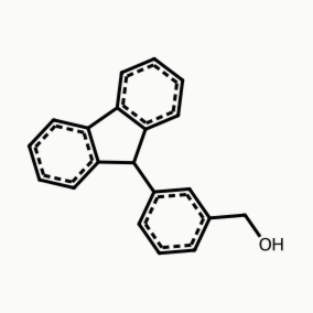 OCc1cccc(C2c3ccccc3-c3ccccc32)c1